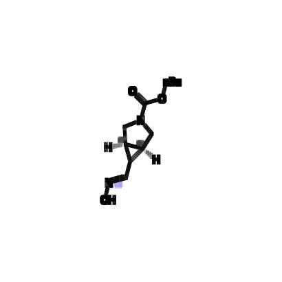 CCCCOC(=O)N1C[C@@H]2C(/C=N/O)[C@@H]2C1